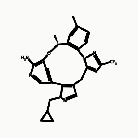 Cc1ccc2c(c1)[C@@H](C)Oc1cc(cnc1N)-c1c(cnn1CC1CC1)Cc1cc(C(F)(F)F)nn1-2